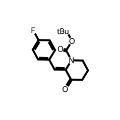 CC(C)(C)OC(=O)N1CCCC(=O)/C1=C/c1ccc(F)cc1